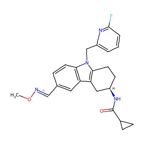 CO/N=C/c1ccc2c(c1)c1c(n2Cc2cccc(F)n2)CC[C@@H](NC(=O)C2CC2)C1